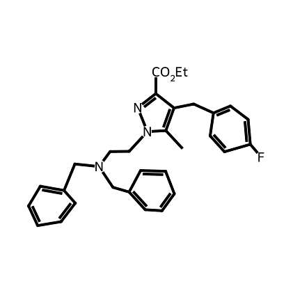 CCOC(=O)c1nn(CCN(Cc2ccccc2)Cc2ccccc2)c(C)c1Cc1ccc(F)cc1